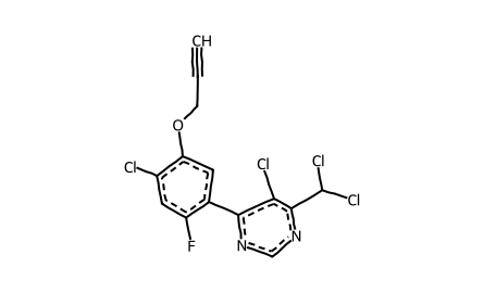 C#CCOc1cc(-c2ncnc(C(Cl)Cl)c2Cl)c(F)cc1Cl